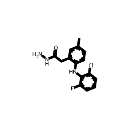 Cc1ccc(Nc2c(F)cccc2Cl)c(CC(=O)NN)c1